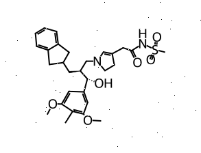 COc1cc([C@@H](O)[C@@H](CC2Cc3ccccc3C2)CN2C=C(CC(=O)NS(C)(=O)=O)CC2)cc(OC)c1C